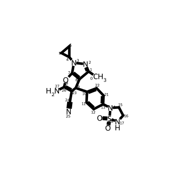 Cc1nn(C2CC2)c2c1C(c1ccc(N3CCNS3(=O)=O)cc1)C(C#N)=C(N)O2